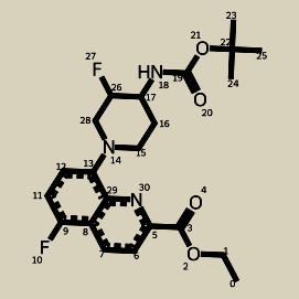 CCOC(=O)c1ccc2c(F)ccc(N3CCC(NC(=O)OC(C)(C)C)C(F)C3)c2n1